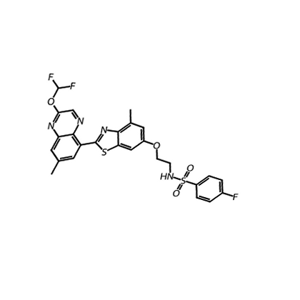 Cc1cc(-c2nc3c(C)cc(OCCNS(=O)(=O)c4ccc(F)cc4)cc3s2)c2ncc(OC(F)F)nc2c1